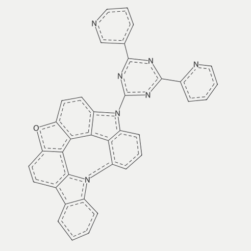 c1ccc(-c2nc(-c3cccnc3)nc(-n3c4ccc5oc6ccc7c8ccccc8n8c9cccc3c9c4c5c6c78)n2)nc1